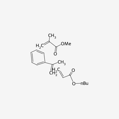 C=C(C)C(=O)OC.C=C(C)c1ccccc1.C=CC(=O)OCCCC